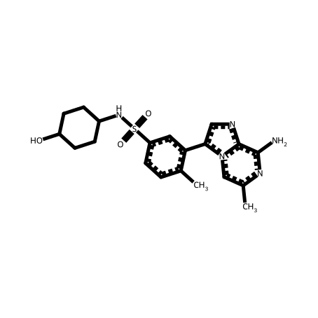 Cc1cn2c(-c3cc(S(=O)(=O)NC4CCC(O)CC4)ccc3C)cnc2c(N)n1